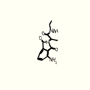 CCNC(=O)C(C)N1C(=O)c2cccc(N)c2C1=O